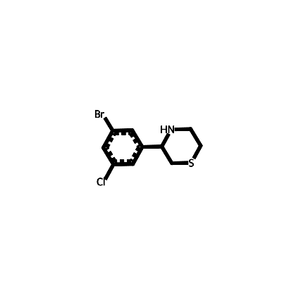 Clc1cc(Br)cc(C2CSCCN2)c1